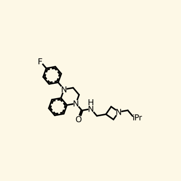 CC(C)CN1CC(CNC(=O)N2CCN(c3ccc(F)cc3)c3ccccc32)C1